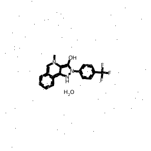 CN1C=c2ccccc2=C2NN(c3ccc(C(F)(F)F)cc3)C(O)=C21.O